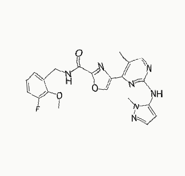 COc1c(F)cccc1CNC(=O)c1nc(-c2nc(Nc3ccnn3C)ncc2C)co1